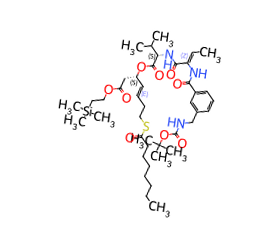 C/C=C(\NC(=O)c1cccc(CNC(=O)OC(C)(C)C)c1)C(=O)N[C@H](C(=O)O[C@H](/C=C/CCSC(=O)CCCCCCC)CC(=O)OCC[Si](C)(C)C)C(C)C